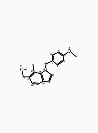 COc1ccc(Cn2ccc3ccc(CO)c(C)c32)cc1